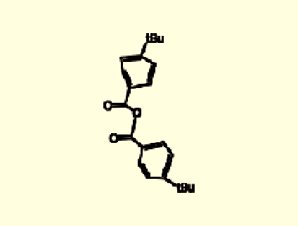 CC(C)(C)c1ccc(C(=O)OC(=O)c2ccc(C(C)(C)C)cc2)cc1